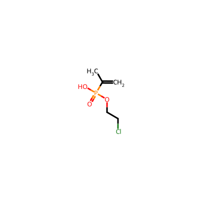 C=C(C)P(=O)(O)OCCCl